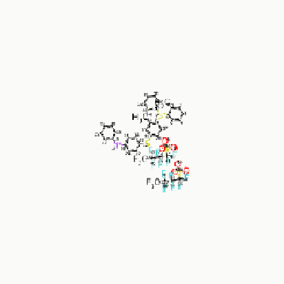 Cc1ccccc1[S+](c1ccc(Sc2ccc([I+]c3ccccc3)cc2)cc1)c1ccccc1C.O=S(=O)([O-])C(F)(F)C(F)(F)C(F)(F)C(F)(F)F.O=S(=O)([O-])C(F)(F)C(F)(F)C(F)(F)C(F)(F)F